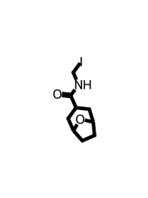 O=C(NCI)C1CC2CCC(C1)O2